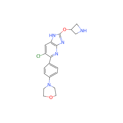 Clc1cc2[nH]c(OC3CNC3)nc2nc1-c1ccc(N2CCOCC2)cc1